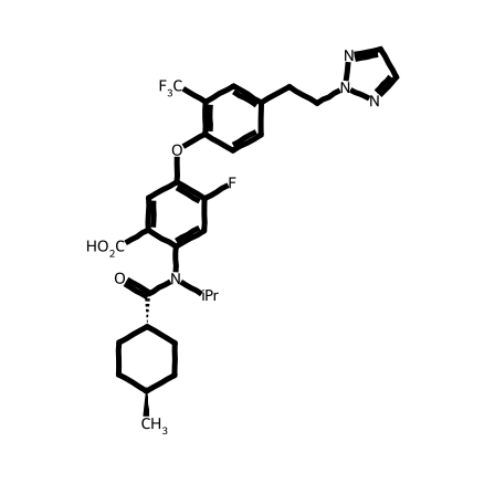 CC(C)N(c1cc(F)c(Oc2ccc(CCn3nccn3)cc2C(F)(F)F)cc1C(=O)O)C(=O)[C@H]1CC[C@H](C)CC1